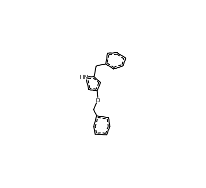 c1ccc(COc2c[nH]c(Cc3ccccc3)c2)cc1